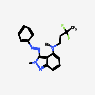 CCN(CCC(F)(F)C(F)(F)F)c1cccc2nn(C)c(N=Nc3ccccc3)c12